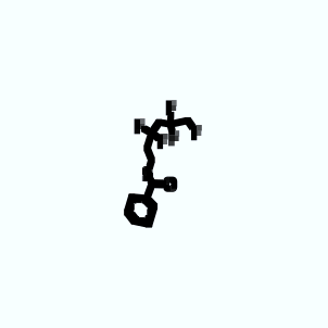 O=C(SCCC(F)(F)CC(F)(F)CF)c1ccccc1